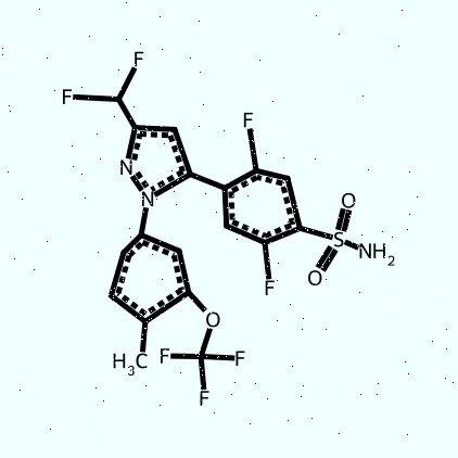 Cc1ccc(-n2nc(C(F)F)cc2-c2cc(F)c(S(N)(=O)=O)cc2F)cc1OC(F)(F)F